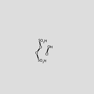 O=S(=O)(O)OOS(=O)(=O)O.OCl